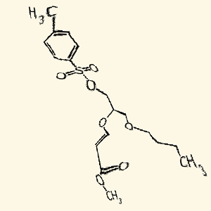 CCCCOC[C@H](COS(=O)(=O)c1ccc(C)cc1)O/C=C/C(=O)OC